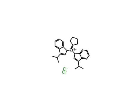 CC(C)C1=C[CH]([Zr+2](=[C]2CCCC2)[CH]2C=C(C(C)C)c3ccccc32)c2ccccc21.[Cl-].[Cl-]